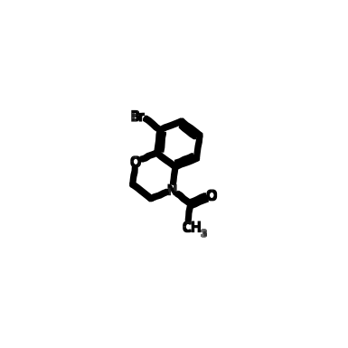 CC(=O)N1CCOc2c(Br)cccc21